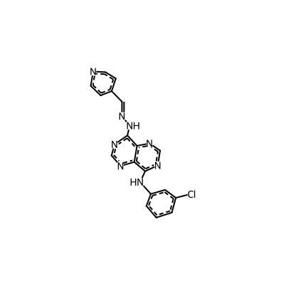 Clc1cccc(Nc2ncnc3c(NN=Cc4ccncc4)ncnc23)c1